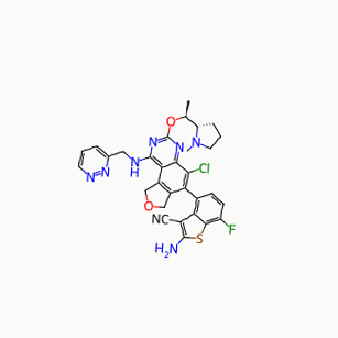 C[C@H](Oc1nc(NCc2cccnn2)c2c3c(c(-c4ccc(F)c5sc(N)c(C#N)c45)c(Cl)c2n1)COC3)[C@@H]1CCCN1C